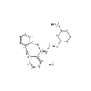 Cl.O=C(O)C1CCCN(CCO[C@@H]2Cc3ccccc3Oc3ccccc32)C1